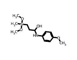 COc1ccc(NC(O)CC[Si](C)(OC)OC)cc1